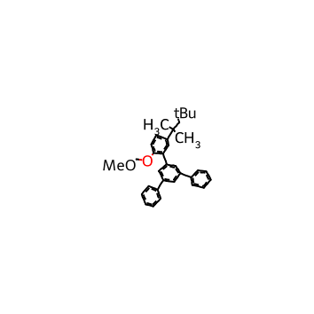 COCOc1ccc(C(C)(C)CC(C)(C)C)cc1-c1cc(-c2ccccc2)cc(-c2ccccc2)c1